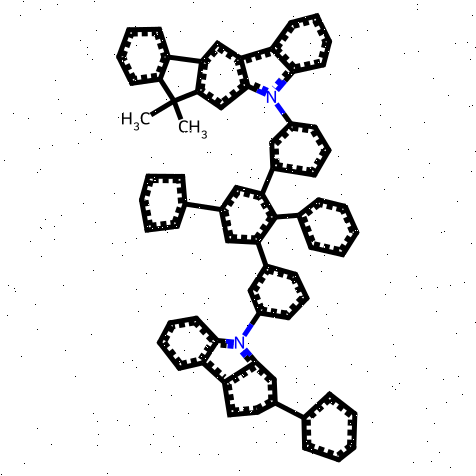 CC1(C)c2ccccc2-c2cc3c4ccccc4n(-c4cccc(-c5cc(-c6ccccc6)cc(-c6cccc(-n7c8ccccc8c8ccc(-c9ccccc9)cc87)c6)c5-c5ccccc5)c4)c3cc21